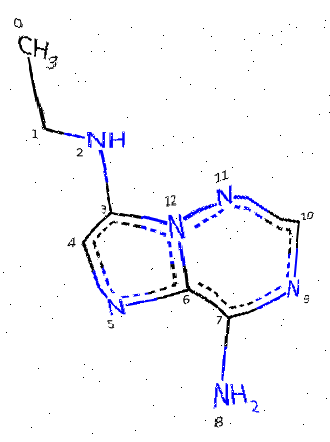 CCNc1cnc2c(N)ncnn12